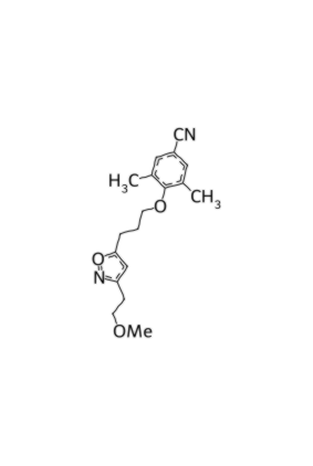 COCCc1cc(CCCOc2c(C)cc(C#N)cc2C)on1